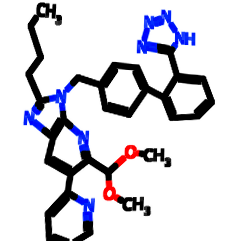 CCCCc1nc2cc(-c3ccccn3)c(C(OC)OC)nc2n1Cc1ccc(-c2ccccc2-c2nnn[nH]2)cc1